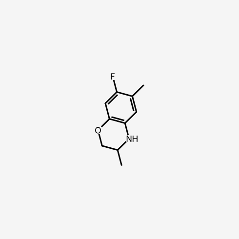 Cc1cc2c(cc1F)OCC(C)N2